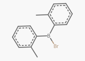 Cc1ccccc1B(Br)c1ccccc1C